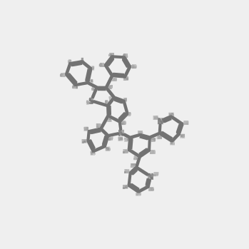 c1ccc(-c2sc3c(ccc4c3c3ccccc3n4-c3cc(-c4ccccn4)cc(-c4ccccn4)c3)c2-c2ccccc2)cc1